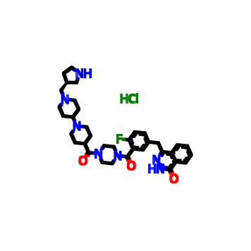 Cl.O=C(c1cc(Cc2n[nH]c(=O)c3ccccc23)ccc1F)N1CCN(C(=O)C2CCN(C3CCN(C[C@H]4CCNC4)CC3)CC2)CC1